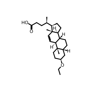 CCO[C@H]1CC[C@@]2(C)[C@H](CC[C@H]3[C@@H]4CC[C@H]([C@H](C)CCC(=O)O)[C@@]4(C)C=C[C@@H]32)C1